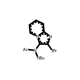 CCCCN(C(C)=O)c1c(C(C)C)nc2ccccn12